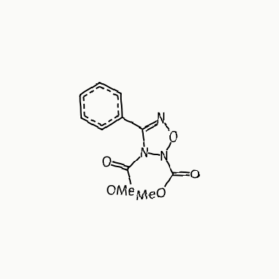 COC(=O)N1ON=C(c2ccccc2)N1C(=O)OC